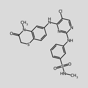 CNS(=O)(=O)c1cccc(Nc2ncc(Cl)c(Nc3ccc4c(c3)N(C)C(=O)CS4)n2)c1